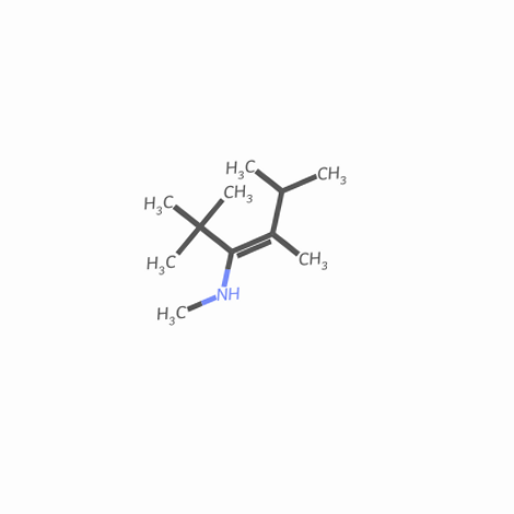 CN/C(=C(\C)C(C)C)C(C)(C)C